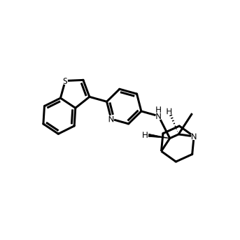 C[C@@H]1[C@@H](Nc2ccc(-c3csc4ccccc34)nc2)C2CCN1CC2